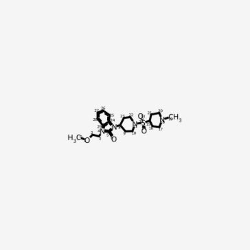 COCCn1c(=O)n(C2CCN(S(=O)(=O)C3CCN(C)CC3)CC2)c2ccccc21